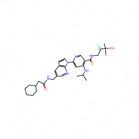 CC(C)Nc1cc(-n2ccc3cc(CNC(=O)CC4CCCCC4)cnc32)ncc1C(=O)NC[C@@H](F)C(C)(C)O